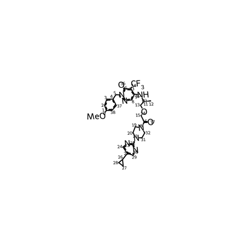 COc1ccc(Cn2ncc(N[C@@H](C)COCC(=O)N3CCN(c4ncc(C5CC5)cn4)CC3)c(C(F)(F)F)c2=O)cc1